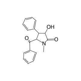 CN1C(=O)C(O)C(c2ccccc2)C1C(=O)c1ccccc1